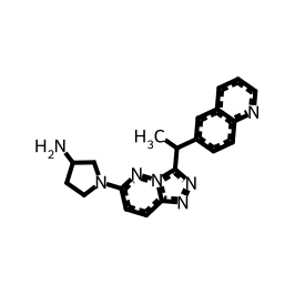 CC(c1ccc2ncccc2c1)c1nnc2ccc(N3CCC(N)C3)nn12